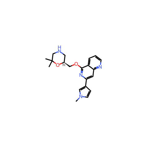 Cn1ccc(-c2cc3ncccc3c(OC[C@@H]3CNCC(C)(C)O3)n2)c1